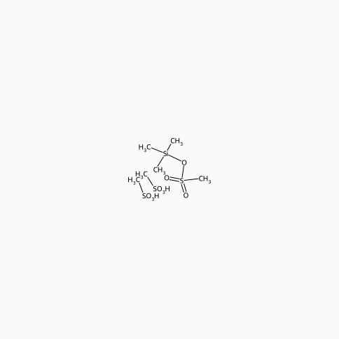 CS(=O)(=O)O.CS(=O)(=O)O.C[Si](C)(C)OS(C)(=O)=O